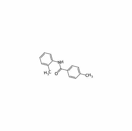 Cc1ccc(C(=O)Nc2ccccc2C)cc1